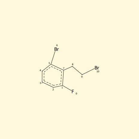 Fc1c[c]cc(Br)c1CCBr